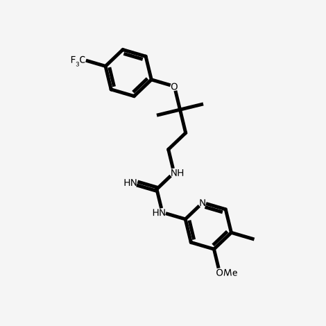 COc1cc(NC(=N)NCCC(C)(C)Oc2ccc(C(F)(F)F)cc2)ncc1C